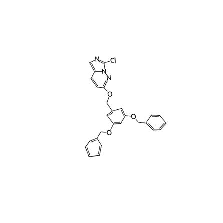 Clc1ncc2ccc(OCc3cc(OCc4ccccc4)cc(OCc4ccccc4)c3)nn12